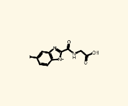 O=C(O)CNC(=O)c1nc2cc(I)ccc2[nH]1